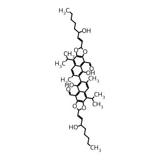 CCCCCC(O)/C=C/C1Oc2c(c(C=O)c3c(O)c(-c4c(C)cc5c(C(C)C)c6c(c(C=O)c5c4O)OC(/C=C/C(O)CCCCC)O6)c(C)cc3c2C(C)C)O1